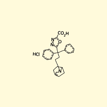 Cl.O=C(O)c1nnc(C(CCN2CC3CCC2CC3)(c2ccccc2)c2ccccc2)o1